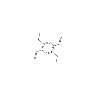 CCc1cc(C=O)c(CC)cc1C=O